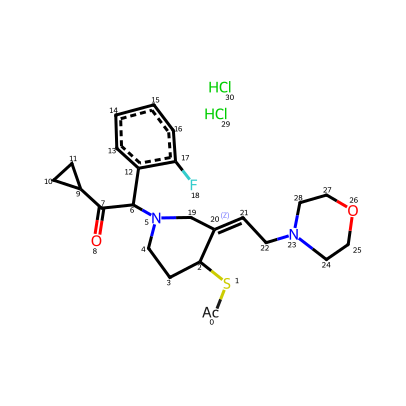 CC(=O)SC1CCN(C(C(=O)C2CC2)c2ccccc2F)C/C1=C/CN1CCOCC1.Cl.Cl